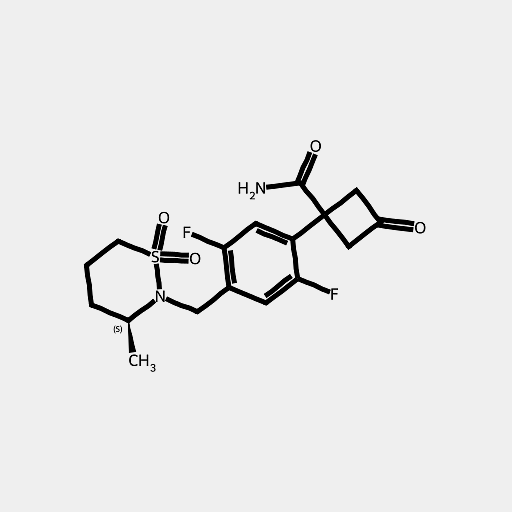 C[C@H]1CCCS(=O)(=O)N1Cc1cc(F)c(C2(C(N)=O)CC(=O)C2)cc1F